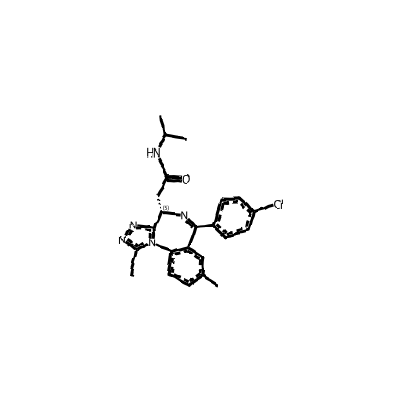 Cc1ccc2c(c1)C(c1ccc(Cl)cc1)=N[C@@H](CC(=O)NC(C)C)c1nnc(C)n1-2